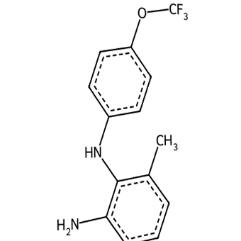 Cc1cccc(N)c1Nc1ccc(OC(F)(F)F)cc1